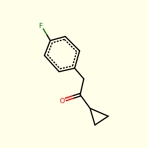 O=C(Cc1ccc(F)cc1)C1CC1